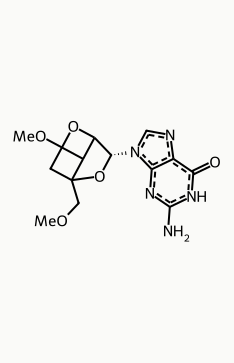 COCC12CC3(OC)OC(C13)[C@H](n1cnc3c(=O)[nH]c(N)nc31)O2